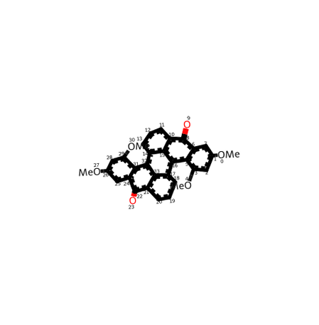 COc1cc(OC)c2c(c1)c(=O)c1cccc3c1c2c1cccc2c(=O)c4cc(OC)cc(OC)c4c3c21